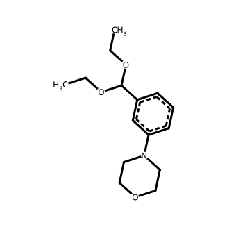 CCOC(OCC)c1cccc(N2CCOCC2)c1